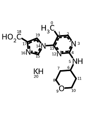 Cc1cnc(NC2CCOCC2)nc1-n1cnc(C(=O)O)c1.[KH]